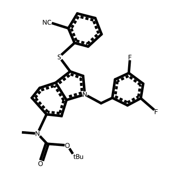 CN(C(=O)OC(C)(C)C)c1ccc2c(Sc3ccccc3C#N)cn(Cc3cc(F)cc(F)c3)c2c1